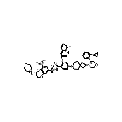 O=C(NS(=O)(=O)c1cc2c(c([N+](=O)[O-])c1)O[C@@H](CN1CCOCC1)CO2)c1ccc(N2CCC3(CC2)CC(N2CCOC[C@@H]2c2ccccc2C2CC2)C3)cc1Oc1cnc2[nH]ccc2c1